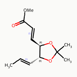 C/C=C/[C@H]1OC(C)(C)O[C@@H]1/C=C/C(=O)OC